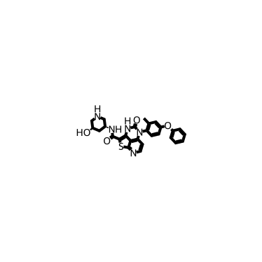 Cc1cc(Oc2ccccc2)ccc1N1C(=O)Nc2c(C(=O)N[C@H]3CNC[C@H](O)C3)sc3nccc1c23